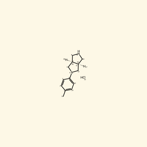 Cc1ccc(N2C[C@H]3CNC[C@H]3C2)cc1.Cl